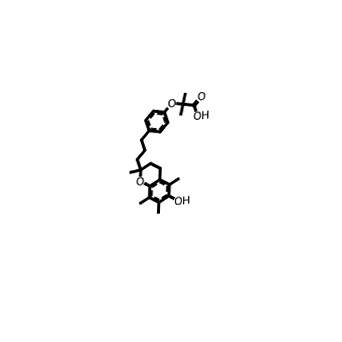 Cc1c(C)c2c(c(C)c1O)CCC(C)(CCCc1ccc(OC(C)(C)C(=O)O)cc1)O2